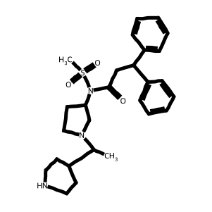 CC(C1CCNCC1)N1CCC(N(C(=O)CC(c2ccccc2)c2ccccc2)S(C)(=O)=O)C1